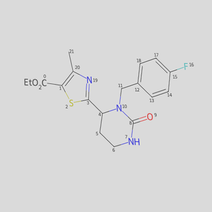 CCOC(=O)c1sc(C2CCNC(=O)N2Cc2ccc(F)cc2)nc1C